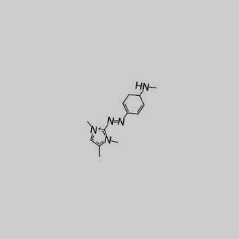 CNC1C=CC(N=Nc2n(C)c(C)c[n+]2C)=CC1